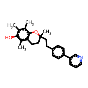 Cc1c(C)c2c(c(C)c1O)CCC(C)(CCc1ccc(-c3cccnc3)cc1)O2